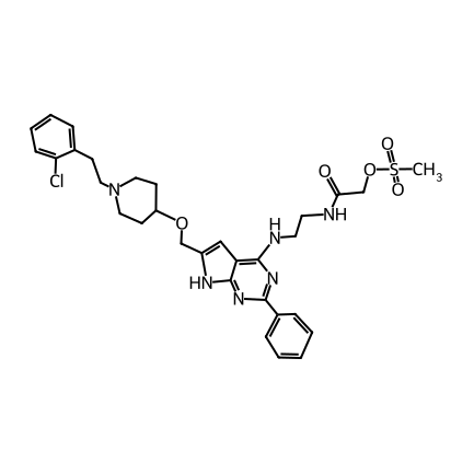 CS(=O)(=O)OCC(=O)NCCNc1nc(-c2ccccc2)nc2[nH]c(COC3CCN(CCc4ccccc4Cl)CC3)cc12